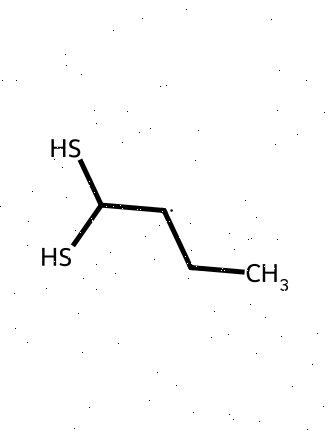 CC[CH]C(S)S